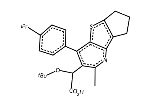 Cc1nc2c3c(sc2c(-c2ccc(C(C)C)cc2)c1C(OC(C)(C)C)C(=O)O)CCC3